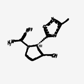 Cc1noc([C@@H]2C(O)CCN2C(=N)N)n1